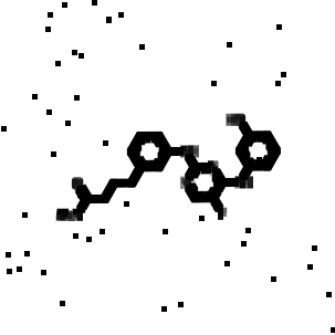 CNC(=O)CCCc1cccc(Nc2ncc(F)c(Nc3cccc(O)c3)n2)c1